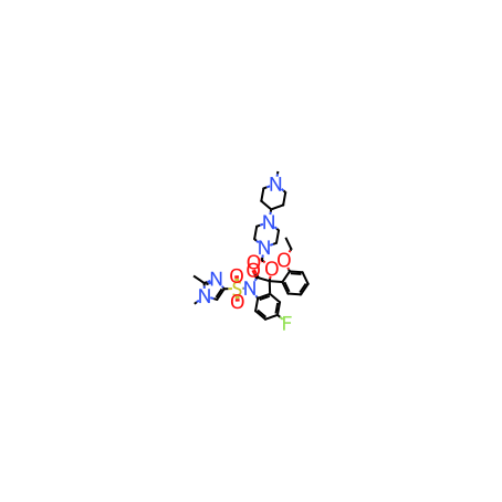 CCOc1ccccc1C1(OC(=O)N2CCN(C3CCN(C)CC3)CC2)C(=O)N(S(=O)(=O)c2cn(C)c(C)n2)c2ccc(F)cc21